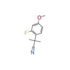 COc1ccc(C(C)(C)C#N)c(F)c1